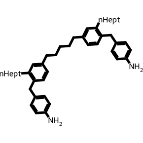 CCCCCCCc1cc(CCCCCc2ccc(Cc3ccc(N)cc3)c(CCCCCCC)c2)ccc1Cc1ccc(N)cc1